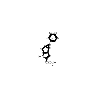 O=C(O)c1cc2c([nH]1)CC1C2[C@H]1c1ccccc1